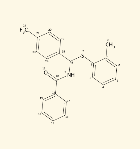 Cc1ccccc1SC(NC(=O)c1ccccc1)c1ccc(C(F)(F)F)cc1